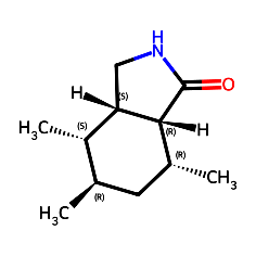 C[C@@H]1[C@@H]2CNC(=O)[C@@H]2[C@H](C)C[C@H]1C